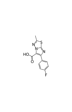 Cc1nn2c(C(=O)O)c(-c3ccc(F)cc3)nc2s1